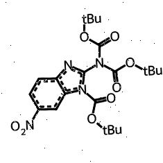 CC(C)(C)OC(=O)N(C(=O)OC(C)(C)C)c1nc2ccc([N+](=O)[O-])cc2n1C(=O)OC(C)(C)C